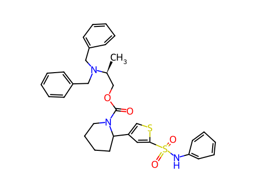 C[C@@H](COC(=O)N1CCCCC1c1csc(S(=O)(=O)Nc2ccccc2)c1)N(Cc1ccccc1)Cc1ccccc1